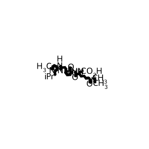 Cc1cc2[nH]c(Cn3cccc(NC(=O)C(CC/C=C/C(=O)N(C)C)NC(=O)O)c3=O)nc2c(CC(C)C)n1